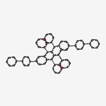 c1ccc(-c2ccc(-c3ccc4c(-c5ccccc5)c5c(-c6ccccc6)c6cc(-c7ccc(-c8ccccc8)cc7)ccc6c(-c6ccccc6)c5c(-c5ccccc5)c4c3)cc2)cc1